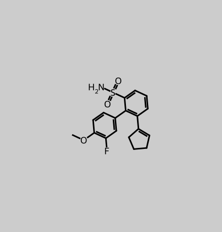 COc1ccc(-c2c(C3=CCCC3)cccc2S(N)(=O)=O)cc1F